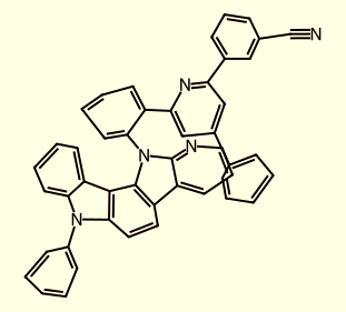 N#Cc1cccc(-c2cc(-c3ccccc3)cc(-c3ccccc3-n3c4ncccc4c4ccc5c(c6ccccc6n5-c5ccccc5)c43)n2)c1